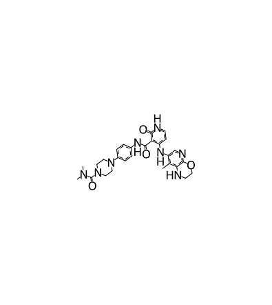 Cc1c(Nc2cc[nH]c(=O)c2C(=O)Nc2ccc(N3CCN(C(=O)N(C)C)CC3)cc2)cnc2c1NCCO2